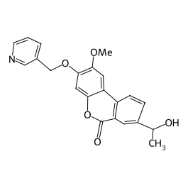 COc1cc2c(cc1OCc1cccnc1)oc(=O)c1cc(C(C)O)ccc12